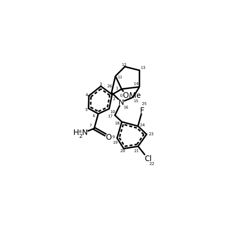 COC1(c2cccc(C(N)=O)c2)C2CCC1CN(Cc1ccc(Cl)cc1F)C2